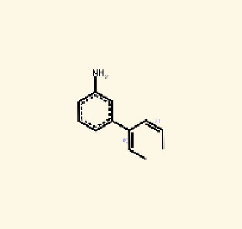 C/C=C\C(=C/C)c1cccc(N)c1